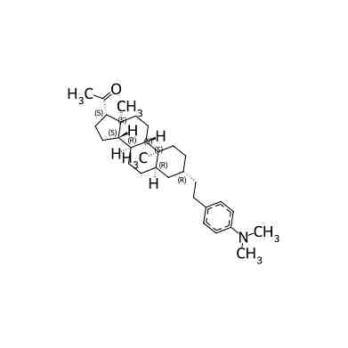 CC(=O)[C@H]1CC[C@H]2[C@@H]3CC[C@@H]4C[C@@H](CCc5ccc(N(C)C)cc5)CC[C@]4(C)[C@H]3CC[C@]12C